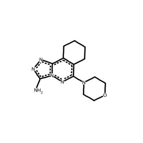 Nc1nnc2c3c(c(N4CCOCC4)nn12)CCCC3